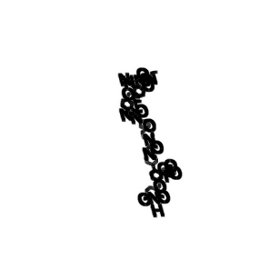 CCN(C)S(=O)(=O)Nc1ccc(F)c(Oc2ccc3ncn(C4COC5(CCN(C(=O)CN6CCC(c7ccc(OC8CCC(=O)NC8=O)cc7OS(=O)(=O)F)CC6)CC5)C4)c(=O)c3c2)c1C#N